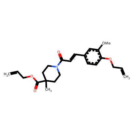 C=CCOC(=O)C1(C)CCN(C(=O)/C=C/c2ccc(OCC=C)c(OC)c2)CC1